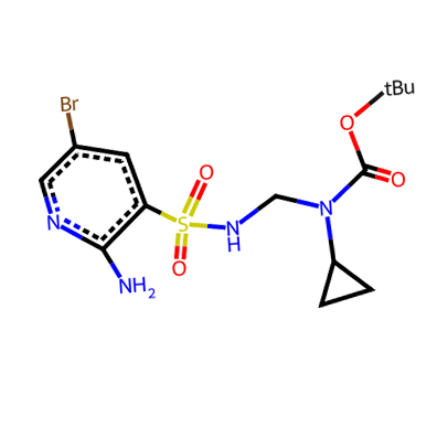 CC(C)(C)OC(=O)N(CNS(=O)(=O)c1cc(Br)cnc1N)C1CC1